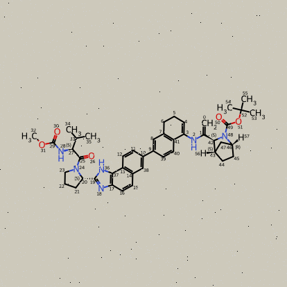 C=C(NC1=CCCc2cc(-c3ccc4c(ccc5nc([C@@H]6CCCN6C(=O)[C@@H](NC(=O)OC)C(C)C)[nH]c54)c3)ccc21)[C@@H]1[C@H]2CC[C@H](C2)N1C(=O)OC(C)(C)C